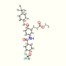 CCOC(=O)CCc1cc(NC(=O)c2ccc(OC(F)(F)F)cc2)ccc1OCc1ccc(C(C)(C)C)cc1